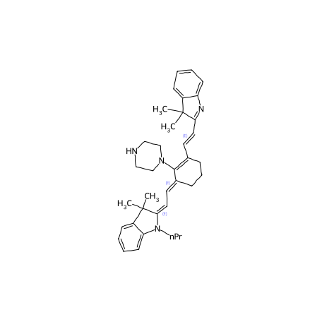 CCCN1/C(=C/C=C2\CCCC(/C=C/C3=Nc4ccccc4C3(C)C)=C2N2CCNCC2)C(C)(C)c2ccccc21